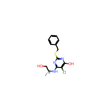 C[C@H](CO)Nc1nc(SCc2ccccc2)nc(O)c1Cl